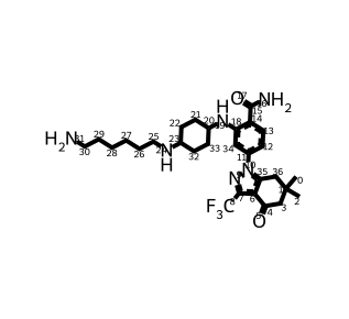 CC1(C)CC(=O)c2c(C(F)(F)F)nn(-c3ccc(C(N)=O)c(NC4CCC(NCCCCCCN)CC4)c3)c2C1